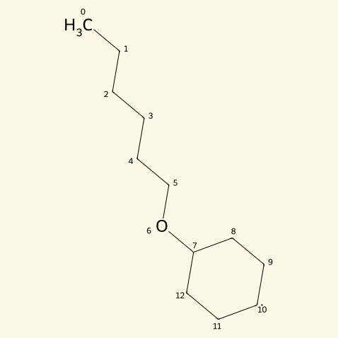 CCCCCCOC1CC[CH]CC1